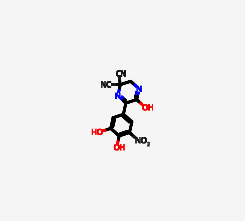 N#CC1(C#N)CN=C(O)C(c2cc(O)c(O)c([N+](=O)[O-])c2)=N1